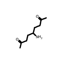 CC(=O)CCC(N)CCC(C)=O